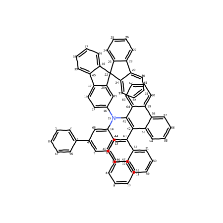 c1ccc(-c2cc(-c3ccccc3)cc(N(c3ccc4c(c3)C3(c5ccccc5-c5ccccc53)c3ccccc3-4)c3c(-c4cccc5ccccc45)c4ccccc4c4ccccc34)c2)cc1